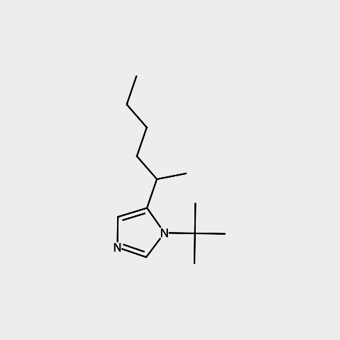 CCCCC(C)c1cncn1C(C)(C)C